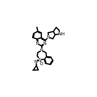 Cc1ccc2nc(N3CCS(=O)(=NC4CC4)c4ccccc4C3)nc(N3CC4CCNC4C3)c2c1